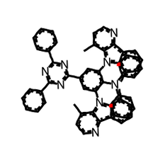 Cc1cccc2c3nccc(C)c3n(-c3cc(-c4nc(-c5ccccc5)nc(-c5ccccc5)n4)cc(-n4c5c(C)cccc5c5nccc(C)c54)c3N(c3ccccc3)c3ccccc3)c12